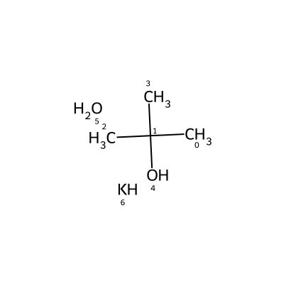 CC(C)(C)O.O.[KH]